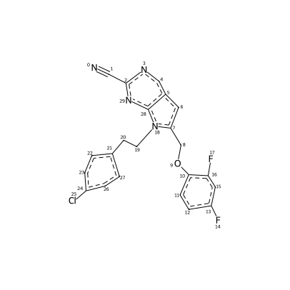 N#Cc1ncc2cc(COc3ccc(F)cc3F)n(CCc3ccc(Cl)cc3)c2n1